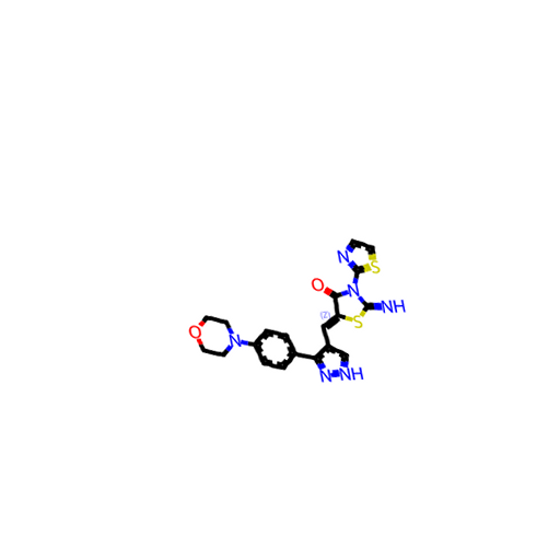 N=C1S/C(=C\c2c[nH]nc2-c2ccc(N3CCOCC3)cc2)C(=O)N1c1nccs1